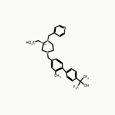 Cc1cc(CN2CCN(Cc3ccncc3)[C@H](CC(=O)O)C2)ccc1-c1ccc(C(O)(C(F)(F)F)C(F)(F)F)cc1